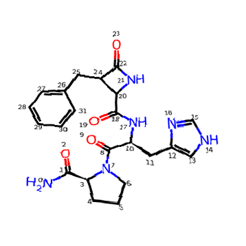 NC(=O)[C@@H]1CCCN1C(=O)[C@H](Cc1c[nH]cn1)NC(=O)C1NC(=O)C1Cc1ccccc1